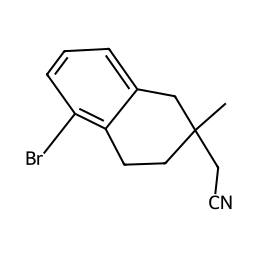 CC1(CC#N)CCc2c(Br)cccc2C1